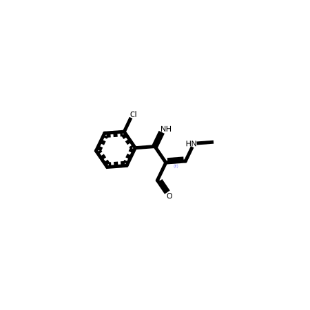 CN/C=C(/C=O)C(=N)c1ccccc1Cl